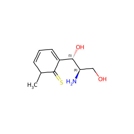 CC1C=CC=C([C@H](O)[C@H](N)CO)C1=S